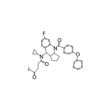 O=C(I)CCC(=O)N(C1CC1)C1c2ccc(F)cc2N(C(=O)c2ccc(Oc3ccccc3)cc2)C2CCCC21